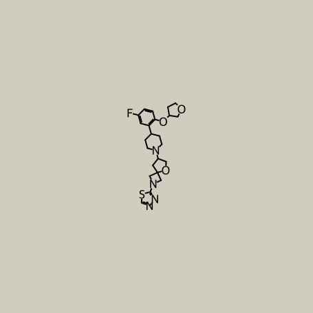 Fc1ccc(OC2CCOC2)c(C2CCN(C3COC4(C3)CN(c3nncs3)C4)CC2)c1